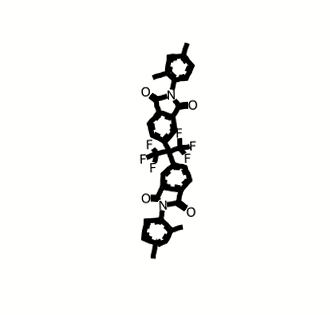 Cc1ccc(N2C(=O)c3ccc(C(c4ccc5c(c4)C(=O)N(c4ccc(C)cc4C)C5=O)(C(F)(F)F)C(F)(F)F)cc3C2=O)c(C)c1